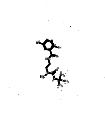 CN(CCNC(=O)c1cc(Br)ccc1F)C(=O)OC(C)(C)C